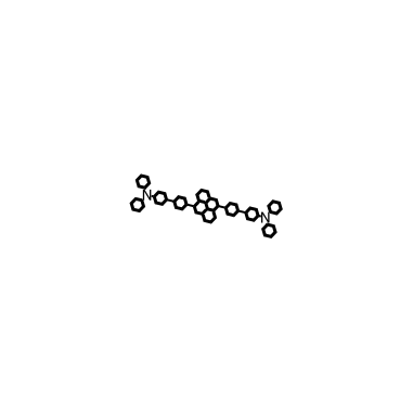 c1ccc(N(c2ccccc2)c2ccc(-c3ccc(-c4cc5cccc6c(-c7ccc(-c8ccc(N(c9ccccc9)c9ccccc9)cc8)cc7)cc7cccc4c7c56)cc3)cc2)cc1